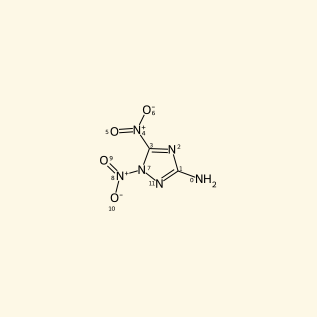 Nc1nc([N+](=O)[O-])n([N+](=O)[O-])n1